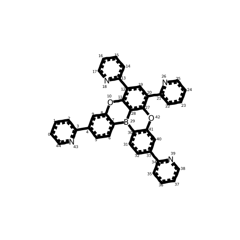 c1ccc(-c2ccc3c(c2)Oc2c(-c4ccccn4)cc(-c4ccccn4)c4c2B3c2ccc(-c3ccccn3)cc2O4)nc1